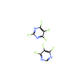 Fc1nc(F)c(F)c(F)n1.Fc1ncnc(F)c1F